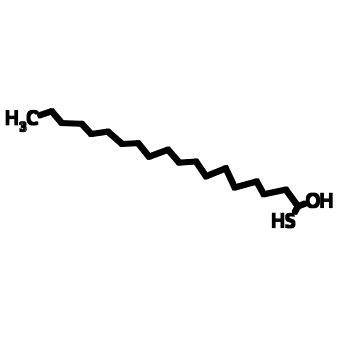 CCCCCCCCCCCCCCCCCCC(O)S